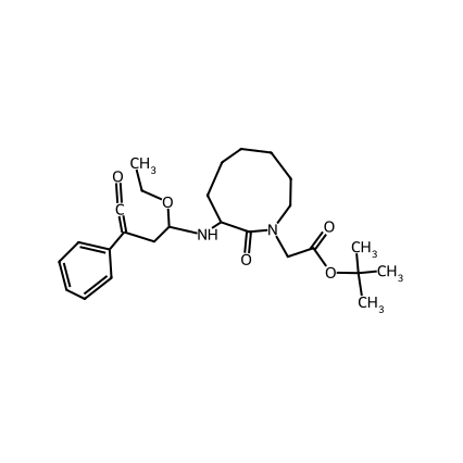 CCOC(CC(=C=O)c1ccccc1)NC1CCCCCCN(CC(=O)OC(C)(C)C)C1=O